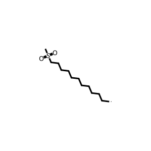 [CH2]CCCCCCCCCCCS(C)(=O)=O